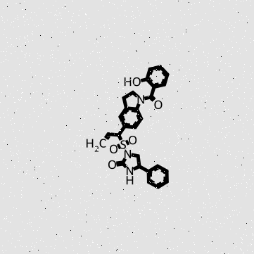 C=CC(c1ccc2c(c1)CCN2C(=O)c1ccccc1O)S(=O)(=O)N1CC(c2ccccc2)NC1=O